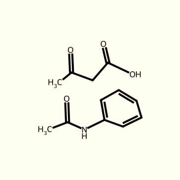 CC(=O)CC(=O)O.CC(=O)Nc1ccccc1